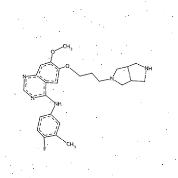 COc1cc2ncnc(Nc3ccc(F)c(C)c3)c2cc1OCCCN1CC2CNCC2C1